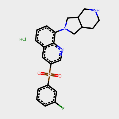 Cl.O=S(=O)(c1cccc(F)c1)c1cnc2c(N3CC4CCNCC4C3)cccc2c1